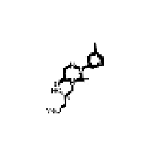 COC[C@H](O)Cn1c(=O)cnn(-c2cc[c]c(C)c2)c1=O